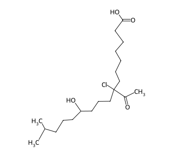 CC(=O)C(Cl)(CCCCCCC(=O)O)CCCC(O)CCCC(C)C